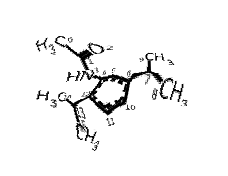 CC(=O)Nc1cc(C(C)C)ccc1C(C)C